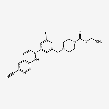 CCOC(=O)N1CCN(Cc2cc(F)cc(N(C=O)Nc3ccc(C#N)nc3)c2)CC1